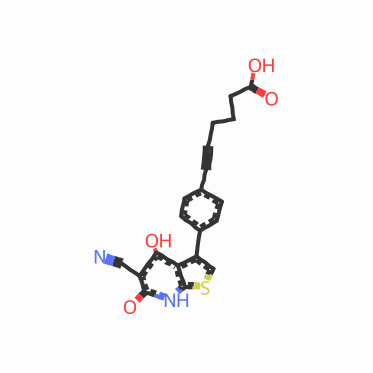 N#Cc1c(O)c2c(-c3ccc(C#CCCCC(=O)O)cc3)csc2[nH]c1=O